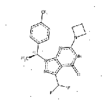 C[C@@H](c1ccc(C(F)(F)F)cc1)n1nc(C(F)F)c2c(=O)[nH]c(N3CCC3)nc21